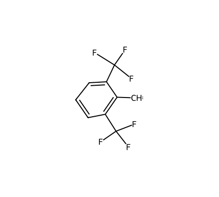 [CH]c1c(C(F)(F)F)cccc1C(F)(F)F